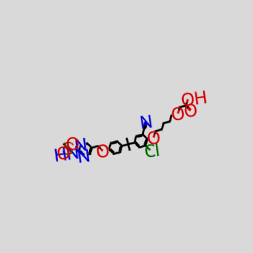 CC(C)(c1ccc(OCc2cnc(NS(C)(=O)=O)nc2)cc1)c1cc(Cl)c(OCCCCCOCC(=O)O)c(C#N)c1